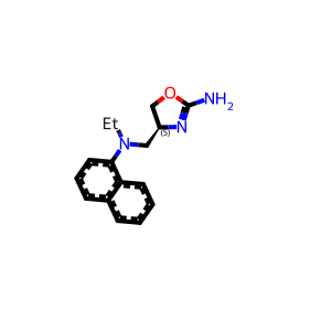 CCN(C[C@H]1COC(N)=N1)c1cccc2ccccc12